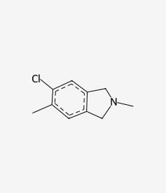 Cc1cc2c(cc1Cl)CN(C)C2